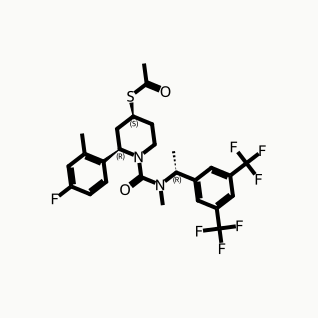 CC(=O)S[C@H]1CCN(C(=O)N(C)[C@H](C)c2cc(C(F)(F)F)cc(C(F)(F)F)c2)[C@@H](c2ccc(F)cc2C)C1